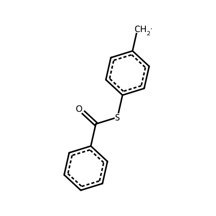 [CH2]c1ccc(SC(=O)c2ccccc2)cc1